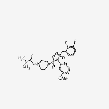 COc1cc(N(S(=O)(=O)Cc2cccc(F)c2F)S(=O)(=O)N2CCN(CC(=O)N(C)C)CC2)ncn1